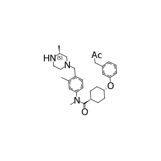 CC(=O)Cc1cccc(O[C@H]2CC[C@H](C(=O)N(C)c3ccc(CN4CCN[C@@H](C)C4)c(C)c3)CC2)c1